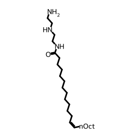 CCCCCCCC/C=C\CCCCCCCCCCCC(=O)NCCNCCN